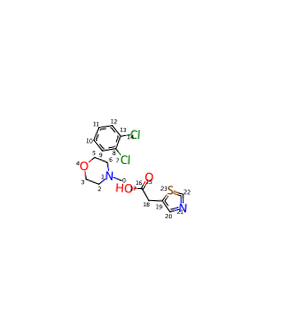 CN1CCOCC1.Clc1ccccc1Cl.O=C(O)Cc1cncs1